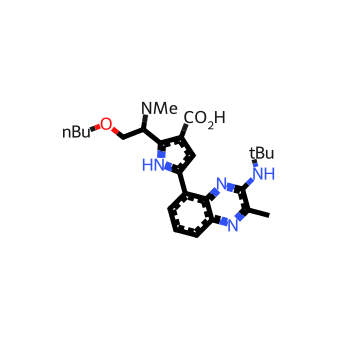 CCCCOCC(NC)c1[nH]c(-c2cccc3nc(C)c(NC(C)(C)C)nc23)cc1C(=O)O